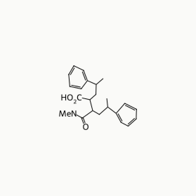 CNC(=O)C(CC(C)c1ccccc1)C(CC(C)c1ccccc1)C(=O)O